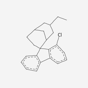 CCC1CC2CCC3(c4ccccc4-c4cccc(Cl)c43)C(C1)C2